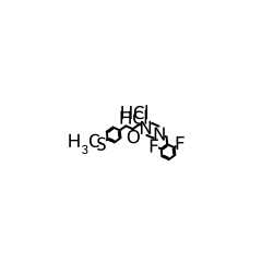 CSc1ccc(CC(=O)CN2CCN(Cc3c(F)cccc3F)CC2)cc1.Cl.Cl